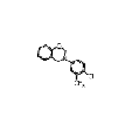 FC(F)(F)c1cc(N2COc3ccccc3C2)ccc1Cl